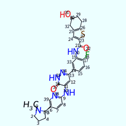 CN1CCC[C@@H]1c1ccc(Nc2cc(-c3ccc(F)c(NC(=O)c4cc5c(s4)CC[C@H](O)C5)c3)n[nH]c2=O)nc1